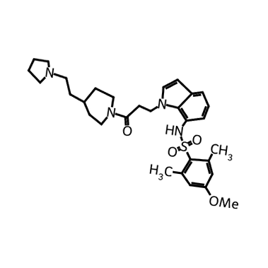 COc1cc(C)c(S(=O)(=O)Nc2cccc3ccn(CCC(=O)N4CCC(CCN5CCCC5)CC4)c23)c(C)c1